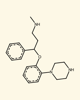 CNCCC(Oc1ccccc1N1CCNCC1)c1ccccc1